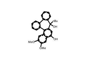 CCCCC1(O)c2ccccc2-c2ccccc2-c2c1cc(O)c1cc(OC)c(OC)cc21